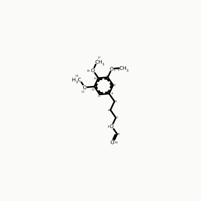 COc1cc(CCCOC=O)cc(OC)c1OC